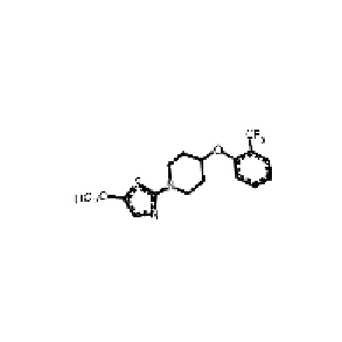 O=C(O)c1cnc(N2CCC(Oc3ccccc3C(F)(F)F)CC2)s1